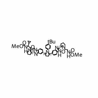 COC(=O)NCC(=O)N1CCC[C@H]1c1nc2cc([C@H]3CC[C@H](c4ccc5[nH]c([C@@H]6CCCN6C(=O)C(NC(=O)OC)C6CC6)nc5c4)N3c3ccc(C(C)(C)C)cc3)ccc2[nH]1